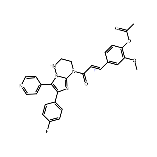 COc1cc(/C=C/C(=O)N2CCNn3c2nc(-c2ccc(F)cc2)c3-c2ccncc2)ccc1OC(C)=O